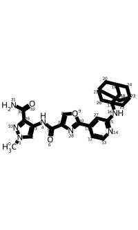 Cn1cc(NC(=O)c2coc(-c3ccnc(NC45CC6CC(CC(C6)C4)C5)c3)n2)c(C(N)=O)n1